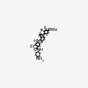 CCc1cc(Nc2nccn3c(-c4ccc(OC)c(F)c4F)cnc23)ccc1C(=O)N[C@H]1CC[C@H](N)CC1